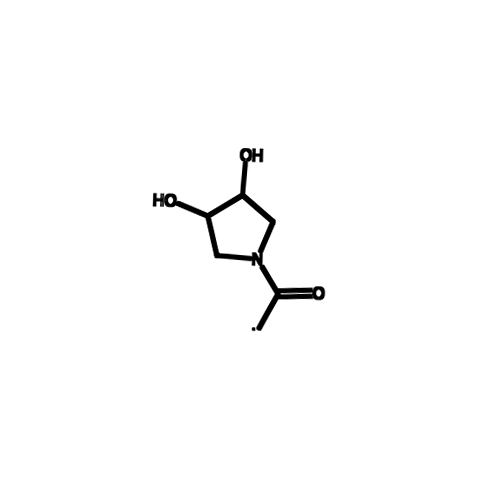 [CH2]C(=O)N1CC(O)C(O)C1